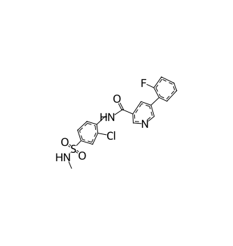 CNS(=O)(=O)c1ccc(CNC(=O)c2cncc(-c3ccccc3F)c2)c(Cl)c1